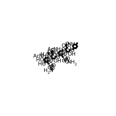 CC(=O)NC1[C@@H](O[C@@H]2C(C(=O)ON)O[C@@H](O[C@@H]3C(COS(=O)(=O)ON)OC(O[C@H]4C(C(=O)ON)O[C@@H](Oc5ccc(C)cc5)C(O)[C@@H]4O)C(NC(C)=O)[C@H]3O)C(O)[C@@H]2O)OC(COS(=O)(=O)ON)[C@@H](O)[C@@H]1O